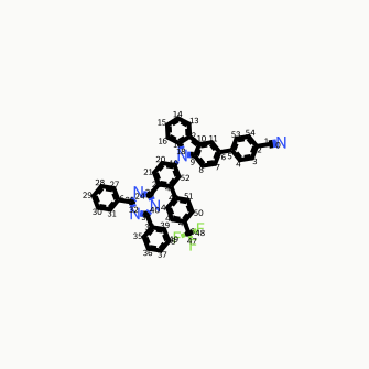 N#Cc1ccc(-c2ccc3c(c2)c2ccccc2n3-c2ccc(-c3nc(-c4ccccc4)nc(-c4ccccc4)n3)c(-c3ccc(C(F)(F)F)cc3)c2)cc1